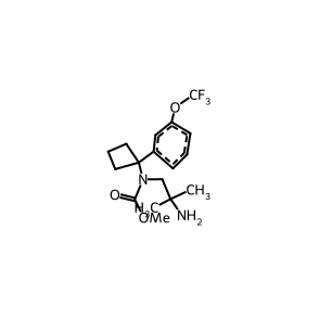 COC(=O)N(CC(C)(C)N)C1(c2cccc(OC(F)(F)F)c2)CCC1